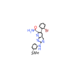 CSc1cccc(Nc2ncc3cc(-c4ccccc4Br)c(C(N)=O)nc3n2)c1